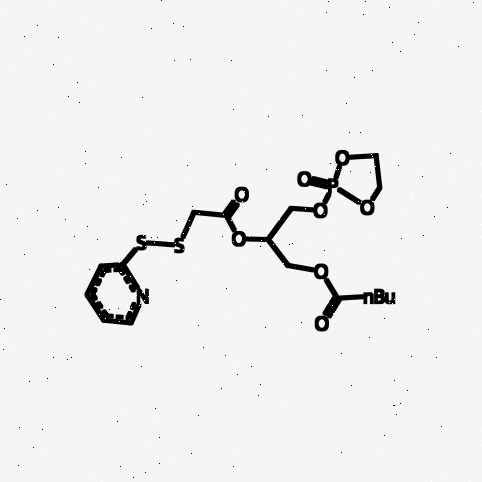 CCCCC(=O)OCC(COP1(=O)OCCO1)OC(=O)CSSc1ccccn1